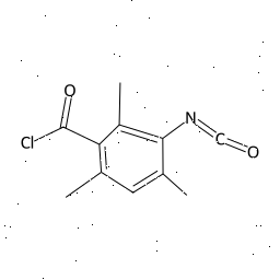 Cc1cc(C)c(C(=O)Cl)c(C)c1N=C=O